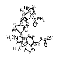 Cn1cc(C2(C)CCOc3c(CCC(=O)O)cccc32)nc1-c1cc(Oc2c(F)c(F)c3[nH]ccc3c2[S+](C)[O-])ccc1F